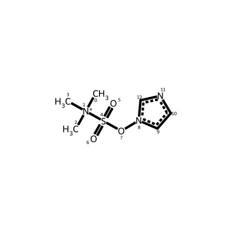 C[N+](C)(C)S(=O)(=O)On1ccnc1